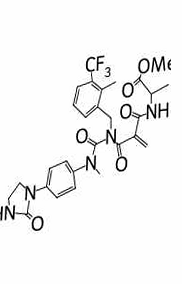 C=C(C(=O)NC(C)C(=O)OC)C(=O)N(Cc1cccc(C(F)(F)F)c1C)C(=O)N(C)c1ccc(N2CCNC2=O)cc1